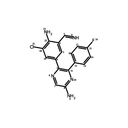 N=Cc1cc(-c2ncc(N)nc2-c2ccc(F)cc2)cc(Cl)c1N